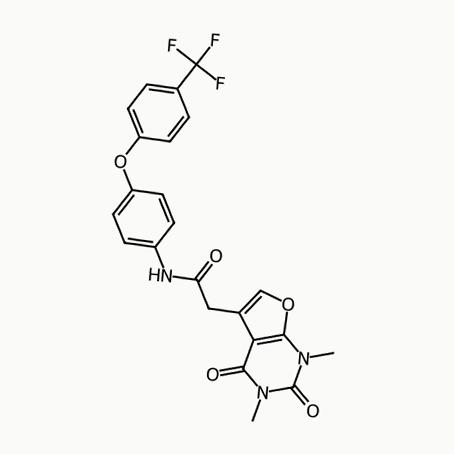 Cn1c(=O)c2c(CC(=O)Nc3ccc(Oc4ccc(C(F)(F)F)cc4)cc3)coc2n(C)c1=O